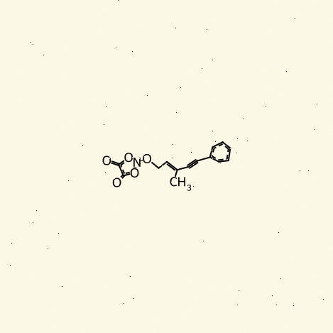 C/C(C#Cc1ccccc1)=C\COn1oc(=O)c(=O)o1